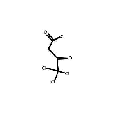 O=C(Cl)CC(=O)C(Cl)(Cl)Cl